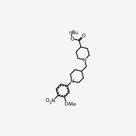 CCCCOC(=O)C1CCN(CC2CCN(c3ccc([N+](=O)[O-])c(OC)c3)CC2)CC1